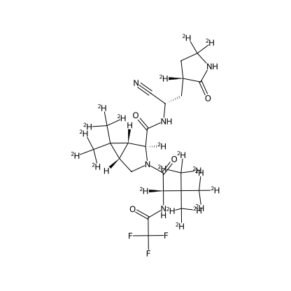 [2H]C1([2H])C[C@@]([2H])(C[C@@H](C#N)NC(=O)[C@]2([2H])[C@@H]3[C@H](CN2C(=O)[C@@]([2H])(NC(=O)C(F)(F)F)C(C([2H])([2H])[2H])(C([2H])([2H])[2H])C([2H])([2H])[2H])C3(C([2H])([2H])[2H])C([2H])([2H])[2H])C(=O)N1